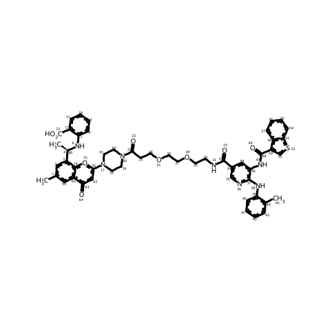 Cc1cc([C@@H](C)Nc2ccccc2C(=O)O)c2oc(N3CCN(C(=O)CCOCCOCCNC(=O)c4cnc(Nc5ccccc5C)c(NC(=O)c5csc6ccccc56)c4)CC3)cc(=O)c2c1